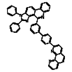 c1ccc(-c2nc3c4c(-c5cccc(-c6ccc(-c7ccc8ccc9cccnc9c8n7)cc6)c5)nc5ccccc5c4ccc3n2-c2ccccc2)cc1